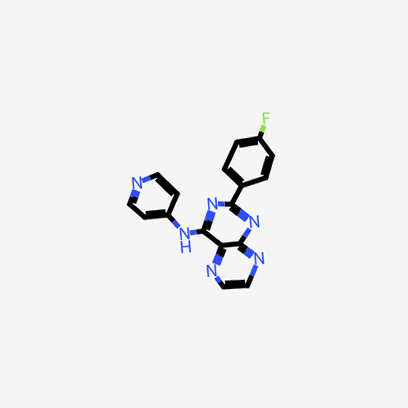 Fc1ccc(-c2nc(Nc3ccncc3)c3nccnc3n2)cc1